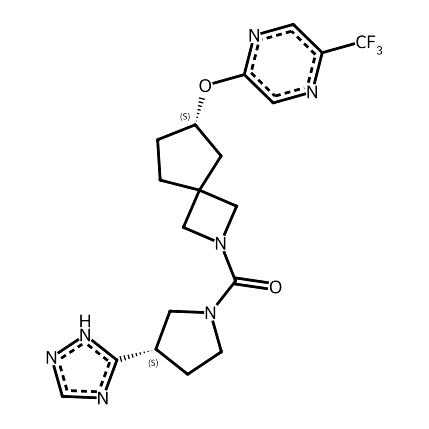 O=C(N1CC[C@H](c2ncn[nH]2)C1)N1CC2(CC[C@H](Oc3cnc(C(F)(F)F)cn3)C2)C1